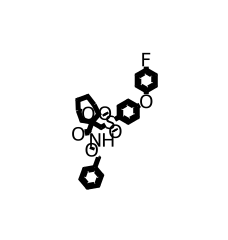 O=C(NOCc1ccccc1)C1(CS(=O)(=O)c2ccc(Oc3ccc(F)cc3)cc2)CC2CCC(C1)O2